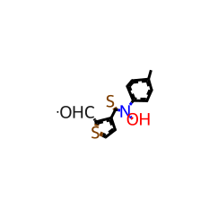 Cc1ccc(N(O)C(=S)c2ccsc2[C]=O)cc1